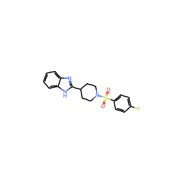 O=S(=O)(c1ccc(F)cc1)N1CCC(c2nc3ccccc3[nH]2)CC1